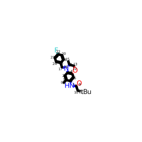 Cc1cc2c(cc1NC(=O)CC(C)(C)C)OCC(C)N2Cc1ccc(F)cc1